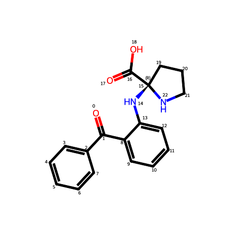 O=C(c1ccccc1)c1ccccc1N[C@@]1(C(=O)O)CCCN1